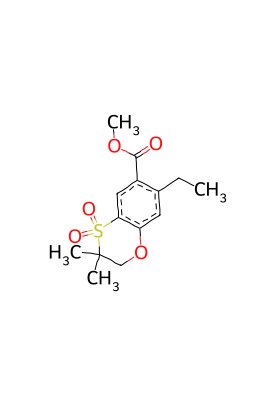 CCc1cc2c(cc1C(=O)OC)S(=O)(=O)C(C)(C)CO2